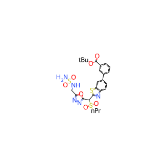 CCCS(=O)(=O)C(c1nnc(CNS(N)(=O)=O)o1)c1nc2ccc(-c3cccc(C(=O)OC(C)(C)C)c3)cc2s1